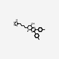 Cc1ccc(-c2nc3c(nc2-c2ccc(C)cc2)N(C)C(CCCCc2nnn[nH]2)CC3O)cc1